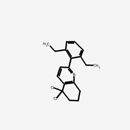 CCc1cccc(CC)c1-c1ccc2c(n1)CCCC2(Cl)Cl